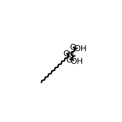 CCCCCCCCCCCCCCCCCC(=O)N(CCC(=O)O)C(C)C(=O)O